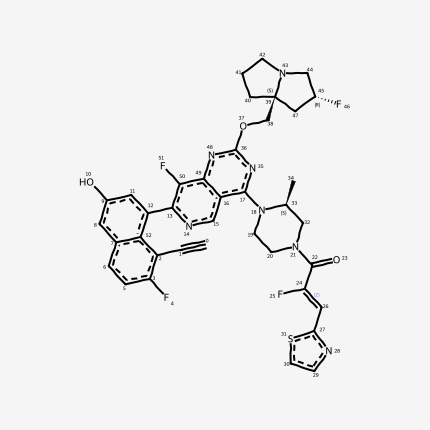 C#Cc1c(F)ccc2cc(O)cc(-c3ncc4c(N5CCN(C(=O)/C(F)=C/c6nccs6)C[C@@H]5C)nc(OC[C@@]56CCCN5C[C@H](F)C6)nc4c3F)c12